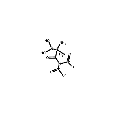 N[N+](N)(C(=O)N([N+](=O)[O-])[N+](=O)[O-])N(O)O